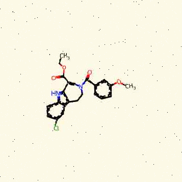 CCOC(=O)C1=CN(C(=O)c2cccc(OC)c2)CCc2c1[nH]c1ccc(Cl)cc21